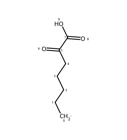 [CH2]CCCCC(=O)C(=O)O